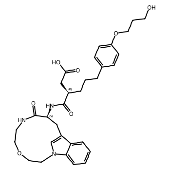 O=C(O)C[C@@H](CCCc1ccc(OCCCO)cc1)C(=O)N[C@H]1Cc2cn(c3ccccc23)CCOCCNC1=O